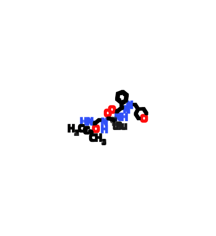 C=C=C(C)OC(=N)CNC(=O)[C@@H](NC(=O)c1nn(CC2CCOCC2)c2ccccc12)C(C)(C)C